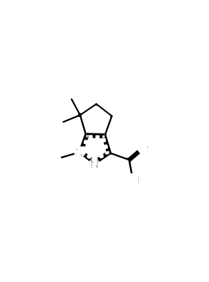 Cn1nc(C(=O)O)c2c1C(C)(C)CC2